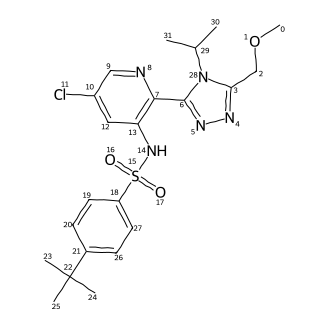 COCc1nnc(-c2ncc(Cl)cc2NS(=O)(=O)c2ccc(C(C)(C)C)cc2)n1C(C)C